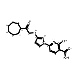 O=C(O)c1ccc(-n2ccc(OCC(=O)C3CCCCCC3)n2)nc1Cl